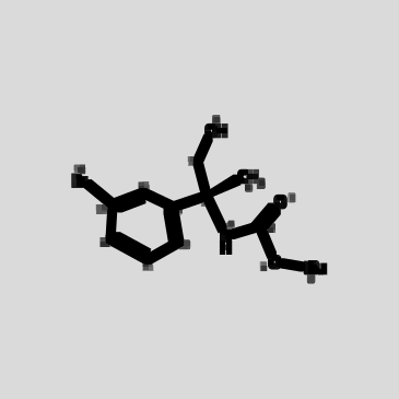 CC(C)(C)OC(=O)N[C@@](C)(CO)c1cccc(Br)c1